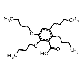 CCCCOc1cc(CCCC)c(CCCC)c(C(=O)O)c1OCCCC